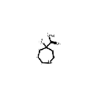 COC(=O)C1(C)CCCNCC1